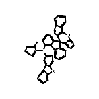 Cc1ccccc1N(c1ccc2sc3ccccc3c2c1)c1cccc2c1-c1ccccc1C21c2ccccc2Oc2c1ccc1ccccc21